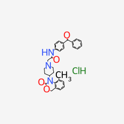 Cc1cccc2c1N(C1CCN(CC(=O)Nc3ccc(C(=O)c4ccccc4)cc3)CC1)C(=O)OC2.Cl